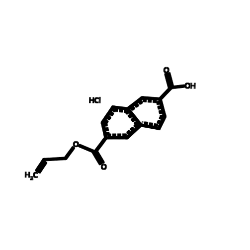 C=CCOC(=O)c1ccc2cc(C(=O)O)ccc2c1.Cl